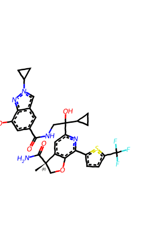 COc1cc(C(=O)NCC(O)(c2cc3c(c(-c4ccc(C(F)(F)F)s4)n2)OC[C@]3(C)C(N)=O)C2CC2)cc2cn(C3CC3)nc12